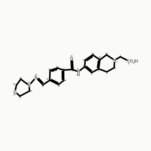 CCOC(=O)CN1CCc2cc(NC(=O)c3ccc(C=NN4CCOCC4)cc3)ccc2C1